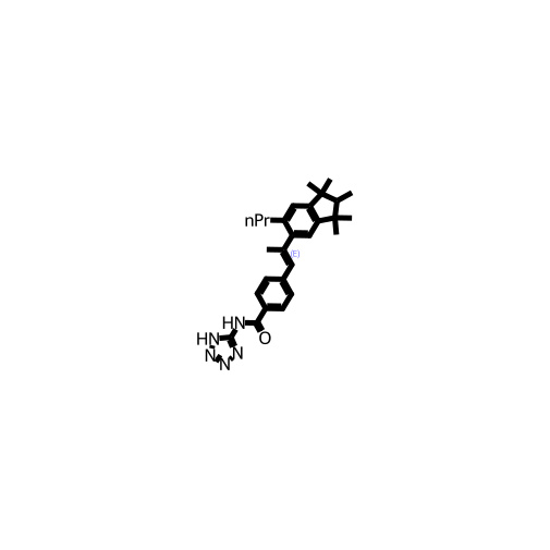 CCCc1cc2c(cc1/C(C)=C/c1ccc(C(=O)Nc3nnn[nH]3)cc1)C(C)(C)C(C)C2(C)C